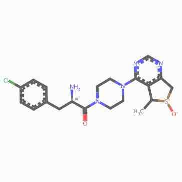 CC1c2c(ncnc2N2CCN(C(=O)[C@H](N)Cc3ccc(Cl)cc3)CC2)C[S+]1[O-]